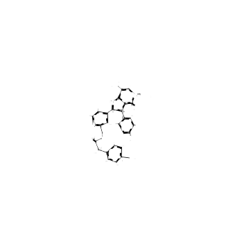 Cc1cn(C)c(=O)c2c(-c3ccc(F)cc3)c(-c3ccnc(NC(=O)[C@@H](C)c4ccc(F)cc4)c3)[nH]c12